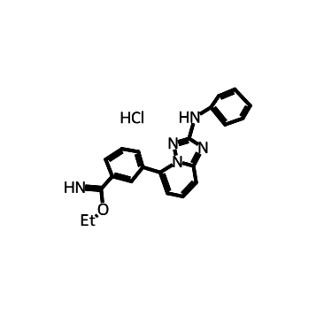 CCOC(=N)c1cccc(-c2cccc3nc(Nc4ccccc4)nn23)c1.Cl